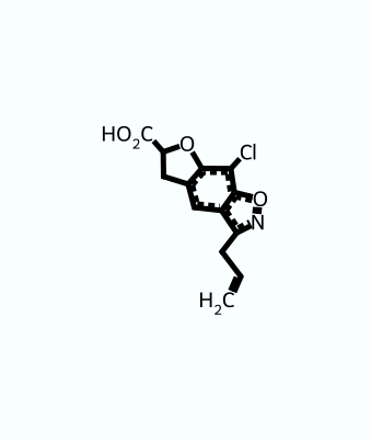 C=CCc1noc2c(Cl)c3c(cc12)CC(C(=O)O)O3